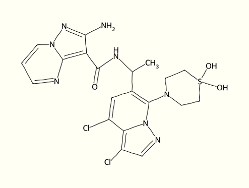 CC(NC(=O)c1c(N)nn2cccnc12)c1cc(Cl)c2c(Cl)cnn2c1N1CCS(O)(O)CC1